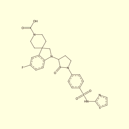 O=C(O)N1CCC2(CC1)CN(C1CCN(c3ccc(S(=O)(=O)Nc4nccs4)cc3)C1=O)c1ccc(F)cc12